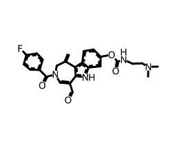 C=C1CN(C(=O)c2ccc(F)cc2)C=C(C=O)c2[nH]c3cc(OC(=O)NCCN(C)C)ccc3c21